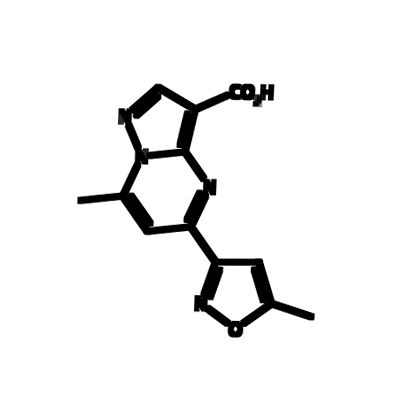 Cc1cc(-c2cc(C)n3ncc(C(=O)O)c3n2)no1